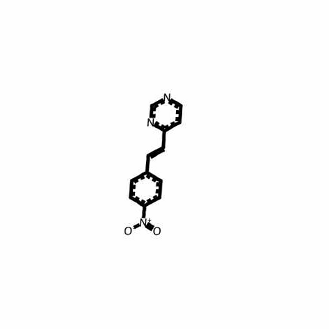 O=[N+]([O-])c1ccc(C=Cc2ccncn2)cc1